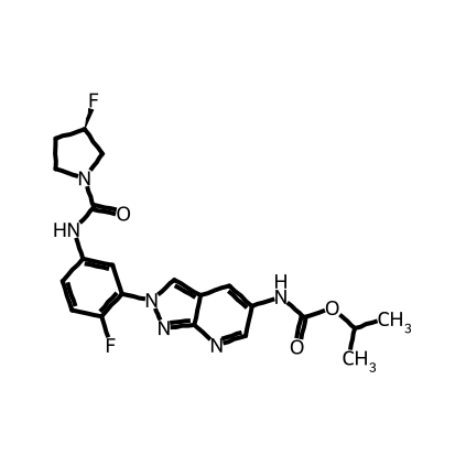 CC(C)OC(=O)Nc1cnc2nn(-c3cc(NC(=O)N4CC[C@@H](F)C4)ccc3F)cc2c1